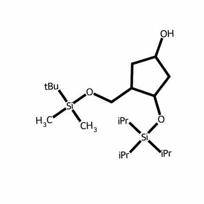 CC(C)[Si](OC1CC(O)CC1CO[Si](C)(C)C(C)(C)C)(C(C)C)C(C)C